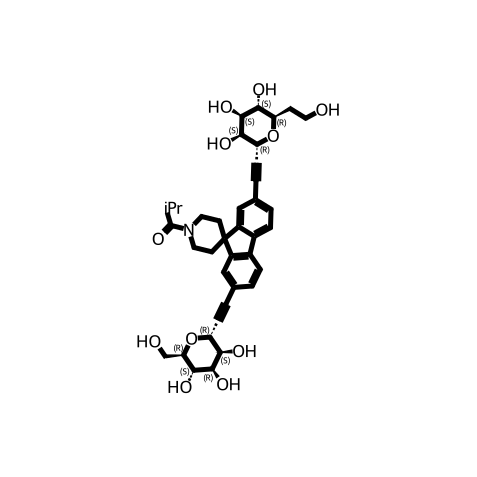 CC(C)C(=O)N1CCC2(CC1)c1cc(C#C[C@H]3O[C@H](CO)[C@@H](O)[C@H](O)[C@@H]3O)ccc1-c1ccc(C#C[C@H]3O[C@H](CCO)[C@@H](O)[C@H](O)[C@@H]3O)cc12